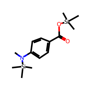 CN(c1ccc(C(=O)O[Si](C)(C)C)cc1)[Si](C)(C)C